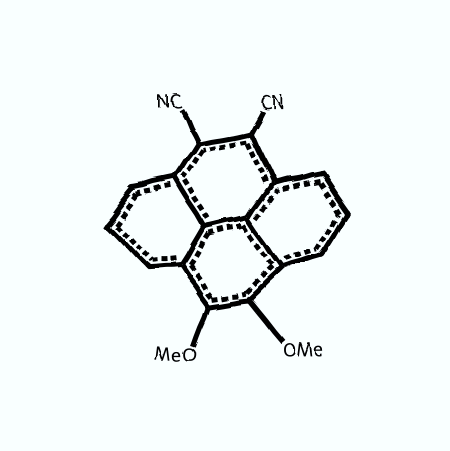 COc1c(OC)c2cccc3c(C#N)c(C#N)c4cccc1c4c32